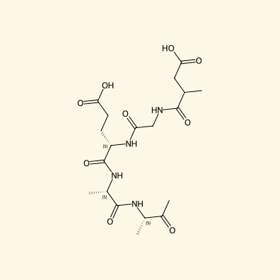 CC(=O)[C@H](C)NC(=O)[C@H](C)NC(=O)[C@H](CCC(=O)O)NC(=O)CNC(=O)C(C)CC(=O)O